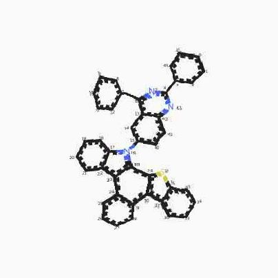 c1ccc(-c2nc(-c3ccccc3)c3cc(-n4c5ccccc5c5c6ccccc6c6c7ccccc7sc6c54)ccc3n2)cc1